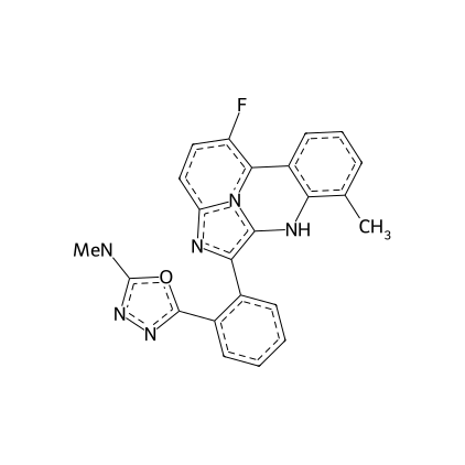 CNc1nnc(-c2ccccc2-c2nc3ccc(F)c4n3c2Nc2c(C)cccc2-4)o1